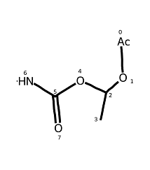 CC(=O)OC(C)OC([NH])=O